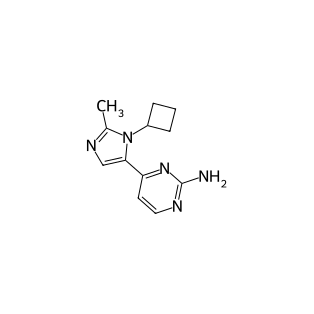 Cc1ncc(-c2ccnc(N)n2)n1C1CCC1